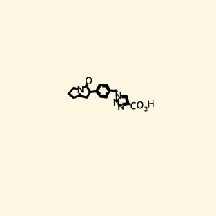 O=C(O)c1cn(Cc2ccc(C3CC4CCCN4C3=O)cc2)nn1